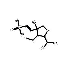 BC(C)C1OCC(O)(/C=C/P(=O)(O)O)C1OI